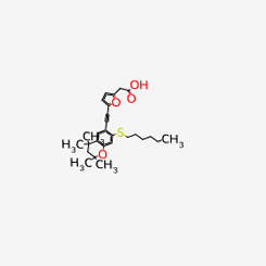 CCCCCCSc1cc2c(cc1C#Cc1ccc(CC(=O)O)o1)C(C)(C)CC(C)(C)O2